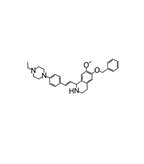 CCN1CCN(c2ccc(C=CC3NCCc4cc(OCc5ccccc5)c(OC)cc43)cc2)CC1